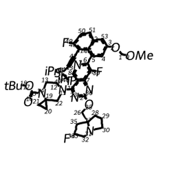 COCOc1cc(-c2ncc3c(N4CCN(C(=O)OC(C)(C)C)C5(CC5)C4)nc(OC[C@@]45CCCN4C[C@H](F)C5)nc3c2F)c2c(C#C[Si](C(C)C)(C(C)C)C(C)C)c(F)ccc2c1